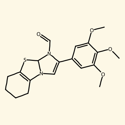 COc1cc(C2=CN3C4=C(CCCC4)SC3N2C=O)cc(OC)c1OC